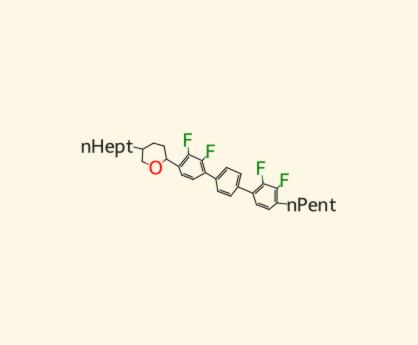 CCCCCCCC1CCC(c2ccc(-c3ccc(-c4ccc(CCCCC)c(F)c4F)cc3)c(F)c2F)OC1